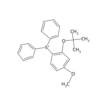 COc1ccc([S+](c2ccccc2)c2ccccc2)c(OC(C)(C)C)c1